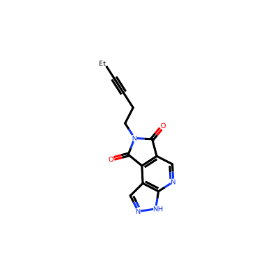 CCC#CCCN1C(=O)c2cnc3[nH]ncc3c2C1=O